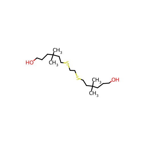 CC(C)(CCCO)CCSCCSCCC(C)(C)CCCO